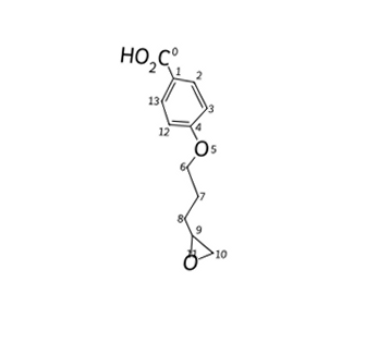 O=C(O)c1ccc(OCCCC2CO2)cc1